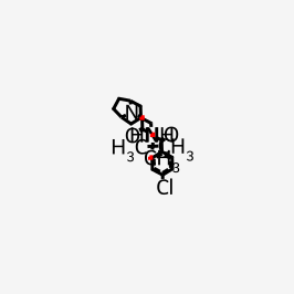 CC(C)(C)NC(=O)CN1C2CCC1CC(CNC(=O)c1ccc(Cl)cc1)C2